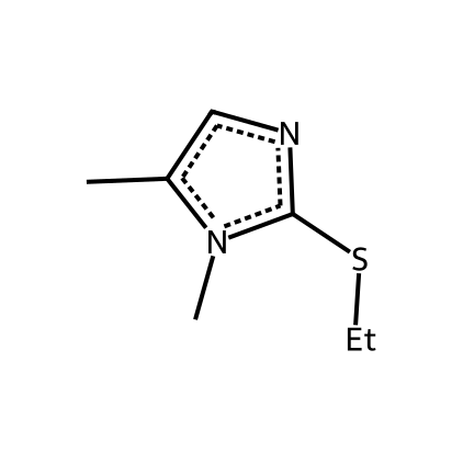 CCSc1ncc(C)n1C